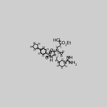 CCOC(=O)CCN(C(=O)[C@H](CC[C@@H]1CCCN(C(=N)N)C1)NS(=O)(=O)c1ccc(C2CCCC2)cc1)C1CC1.Cl